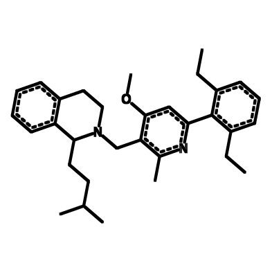 CCc1cccc(CC)c1-c1cc(OC)c(CN2CCc3ccccc3C2CCC(C)C)c(C)n1